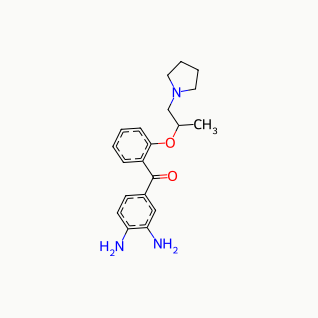 CC(CN1CCCC1)Oc1ccccc1C(=O)c1ccc(N)c(N)c1